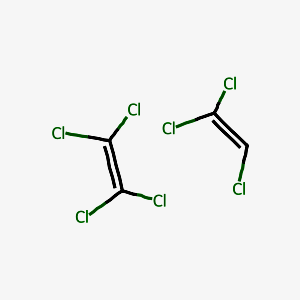 ClC(Cl)=C(Cl)Cl.ClC=C(Cl)Cl